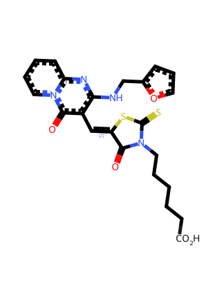 O=C(O)CCCCCN1C(=O)/C(=C/c2c(NCc3ccco3)nc3ccccn3c2=O)SC1=S